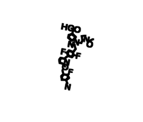 CC(=O)N1CCC1Cn1c(Cc2cc(F)c(-c3cccc(OCc4ccc(C#N)cc4F)n3)cc2F)nc2ccc(C(=O)O)cc21